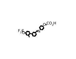 Cc1cc(OC(F)(F)F)ccc1-c1cccc(C=Nc2ccc(OCC(=O)O)cc2)c1